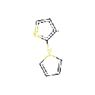 [c]1ccsc1[SH]1C=CC=C1